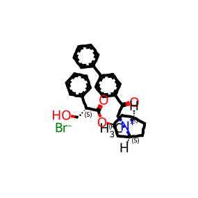 C[N+]1(CC(=O)c2ccc(-c3ccccc3)cc2)[C@@H]2CC[C@H]1C[C@@H](OC(=O)[C@H](CO)c1ccccc1)C2.[Br-]